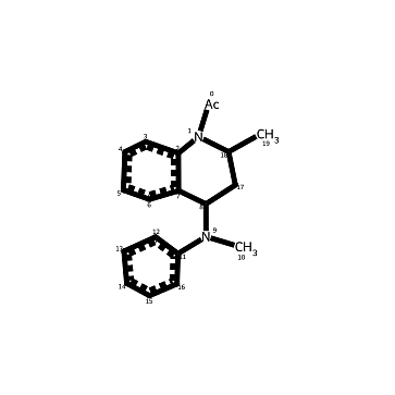 CC(=O)N1c2ccccc2C(N(C)c2ccccc2)CC1C